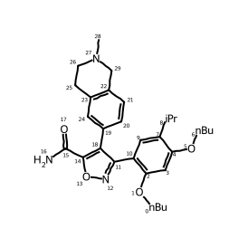 CCCCOc1cc(OCCCC)c(C(C)C)cc1-c1noc(C(N)=O)c1-c1ccc2c(c1)CCN(C)C2